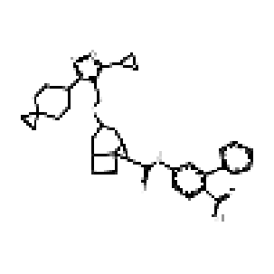 O=C(O)c1ccc(NC(=O)C2C3CC(OCc4c(C5CCC6(CC5)CC6)noc4C4CC4)CC4CCC432)cc1-c1ccccc1